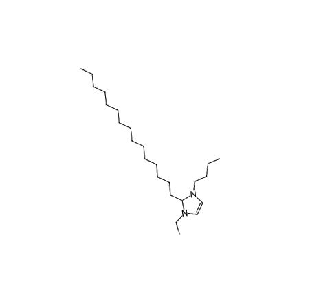 CCCCCCCCCCCCCCCC1N(CC)C=CN1CCCC